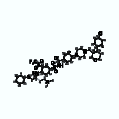 CN(C)CC[C@H](CSc1ccccc1)Nc1ccc(S(=O)(=O)NC(=O)c2ccc(N3CCN(CC4=C(c5ccc(Cl)cc5)CCOC4)CC3)cc2)cc1S(=O)(=O)C(F)(F)F